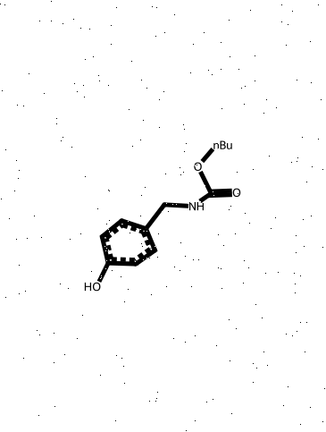 CCCCOC(=O)NCc1ccc(O)cc1